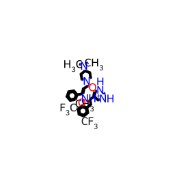 Cc1ccccc1/C1=C/C(N2CCC(N(C)C)CC2)OC2=C(CNCN2)C(Cc2cc(C(F)(F)F)cc(C(F)(F)F)c2)[NH+]1[O-]